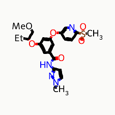 CCC(COC)Oc1cc(Oc2ccc(S(C)(=O)=O)nc2)cc(C(=O)Nc2ccn(C)n2)c1